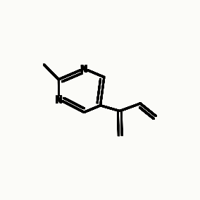 C=CC(=C)c1cnc(C)nc1